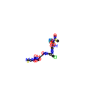 Cc1ncsc1C1=CCC([C@H](C)NC(=O)[C@@H]2C[C@@H](O)CN2C(=O)[C@@H](NC(=O)CCCCCCC(=O)N2CCN(CCC3(C)CCC(c4ccc(Cl)cc4)=C(CN4CCN(c5ccc(C(=O)NS(=O)(=O)c6ccc(N[C@H](CCN7CCOCC7)CSc7ccccc7)c(S(=O)(=O)C(F)(F)F)c6)cc5)CC4)C3)CC2)C(C)(C)C)C=C1